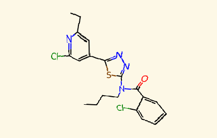 CCCCN(C(=O)c1ccccc1Cl)c1nnc(-c2cc(Cl)nc(CC)c2)s1